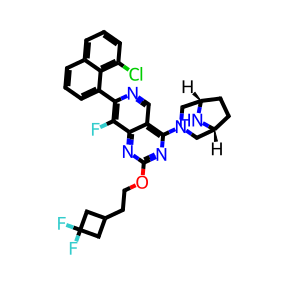 Fc1c(-c2cccc3cccc(Cl)c23)ncc2c(N3C[C@H]4CC[C@@H](C3)N4)nc(OCCC3CC(F)(F)C3)nc12